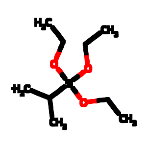 [CH2]C(C)[Si](OCC)(OCC)OCC